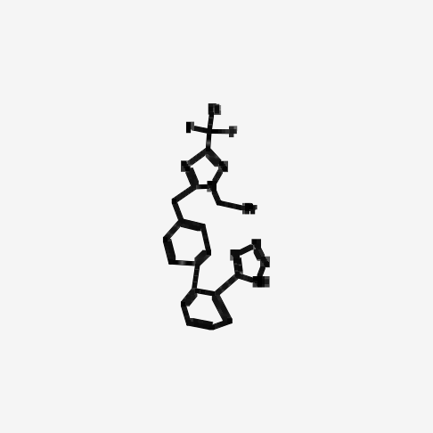 CCC(F)(F)c1nc(Cc2ccc(-c3ccccc3-c3nnn[nH]3)cc2)n(CC(C)C)n1